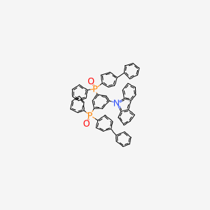 O=P(c1ccccc1)(c1ccc(-c2ccccc2)cc1)c1cc(-n2c3ccccc3c3ccccc32)cc(P(=O)(c2ccccc2)c2ccc(-c3ccccc3)cc2)c1